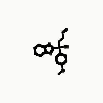 C=CCCC(O)(c1ccc(OC)cc1)c1nc2ccccc2s1